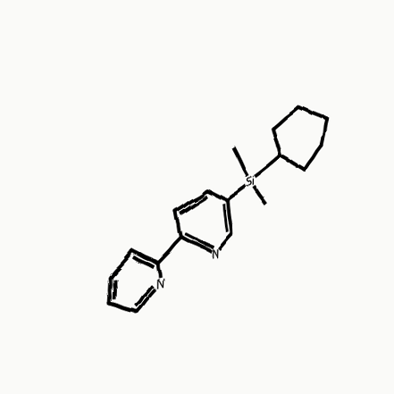 C[Si](C)(c1ccc(-c2ccccn2)nc1)C1CCCCC1